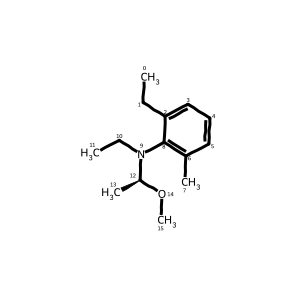 CCc1cccc(C)c1N(CC)[C@H](C)OC